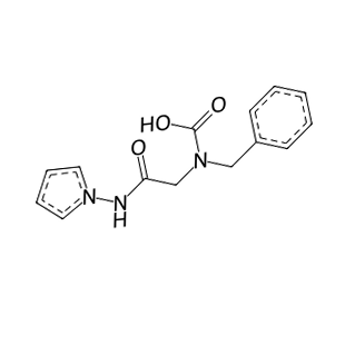 O=C(CN(Cc1ccccc1)C(=O)O)Nn1cccc1